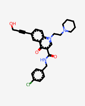 O=C(NCc1ccc(Cl)cc1)c1cn(CCN2CCCCC2)c2ccc(C#CCO)cc2c1=O